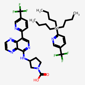 CCC[CH2][Sn]([CH2]CCC)([CH2]CCC)[c]1ccc(C(F)(F)F)cn1.O=C(O)N1CCC(Nc2ncc(-c3ccc(C(F)(F)F)cn3)c3nccnc23)C1